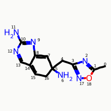 Cc1nc(CC2(N)C=c3nc(N)ncc3=CC2)no1